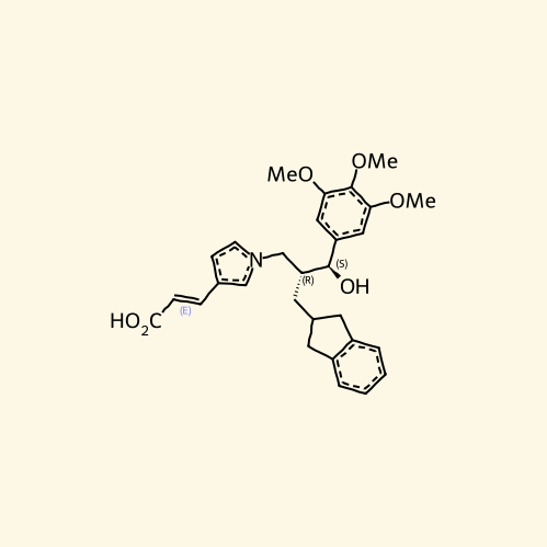 COc1cc([C@@H](O)[C@H](CC2Cc3ccccc3C2)Cn2ccc(/C=C/C(=O)O)c2)cc(OC)c1OC